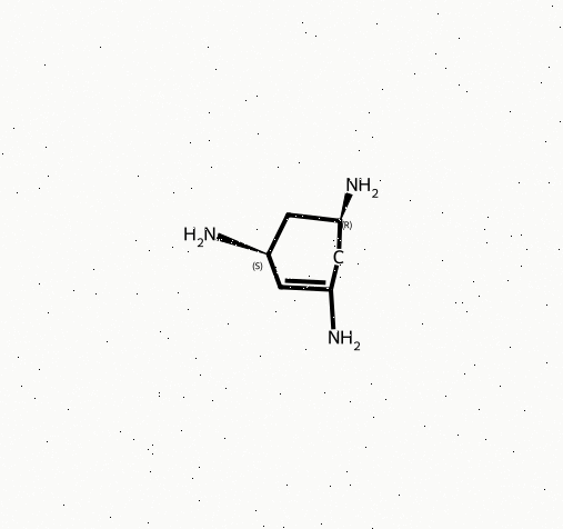 NC1=C[C@@H](N)C[C@@H](N)C1